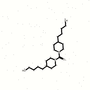 O=C(N1CCC(CCCCO)CC1)N1CCC(CCCCO)CC1